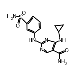 NC(=O)c1cnc(Nc2cccc(S(N)(=O)=O)c2)nc1NC1CC1